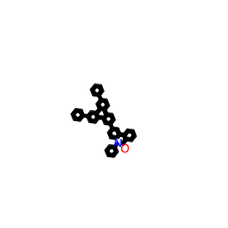 O=c1c2ccccc2c2cc(-c3ccc4c5ccc(-c6ccccc6)cc5c5cc(-c6ccccc6)ccc5c4c3)ccc2n1-c1ccccc1